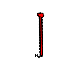 Cc1ccc(C(OC(=O)CCOCCOCCOCCOCCOCCOCCOCCOCCOCCOCCOCCOCCOCCOCCOCCOCCOCCOCCOCCOCCOCCOCCOCCOCCN)(c2ccccc2)c2ccccc2Cl)cc1